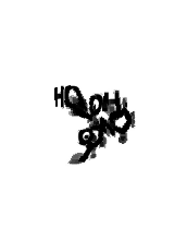 CC1C[C@@H](N2CCCC2)[C@@H](C(O)CO)O1